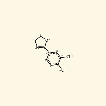 Clc1ccc(C2=NCCO2)cc1Cl